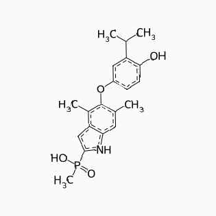 Cc1cc2[nH]c(P(C)(=O)O)cc2c(C)c1Oc1ccc(O)c(C(C)C)c1